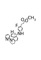 CCOC(=O)CCc1ccc(NCc2ccc3c(c2C)N(c2ccccn2)CCC3)cc1F